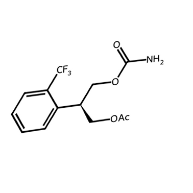 CC(=O)OC[C@H](COC(N)=O)c1ccccc1C(F)(F)F